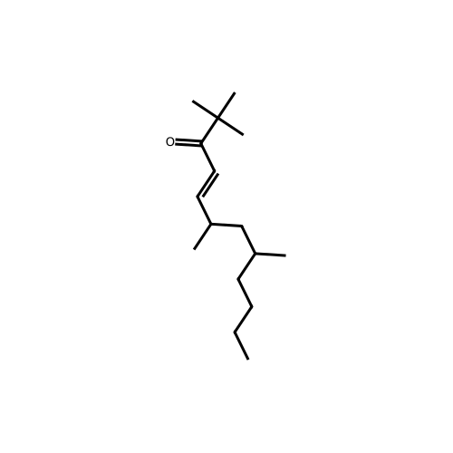 CCCCC(C)CC(C)/C=C/C(=O)C(C)(C)C